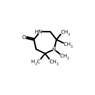 CN1C(C)(C)CNC(=O)CC1(C)C